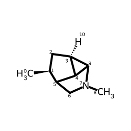 C[C@H]1C[C@@H]2C3C1CN(C)C32